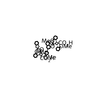 COc1ccccc1C1C(C(=O)OC2Cc3ccccc3C2)[C@@H](c2cc(-c3cc(OC(=O)C4[C@@H](c5ccccc5OC)C(C(=O)O)[C@@H]4c4ccccc4OC)c4ccccc4c3)ccc2OC)[C@H]1C(=O)O